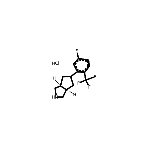 Cl.Fc1ccc(C(F)(F)F)c(C2C[C@H]3CNC[C@H]3C2)c1